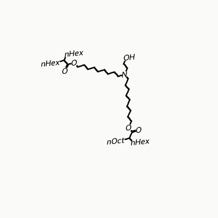 CCCCCCCCC(CCCCCC)C(=O)OCCCCCCCCCN(CCO)CCCCCCCCCOC(=O)C(CCCCCC)CCCCCC